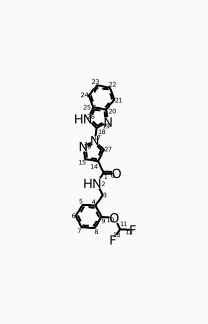 O=C(NCc1ccccc1OC(F)F)c1cnn(-c2nc3ccccc3[nH]2)c1